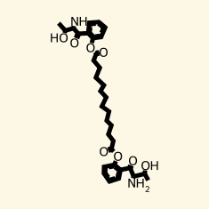 CC(O)C(N)C(=O)c1ccccc1OC(=O)CCCCCCCCCCCCC(=O)Oc1ccccc1C(=O)C(N)C(C)O